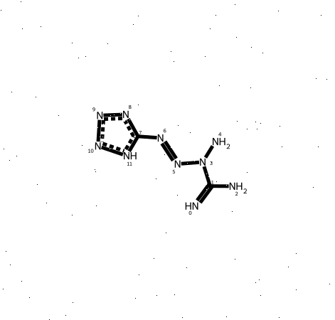 N=C(N)N(N)N=Nc1nnn[nH]1